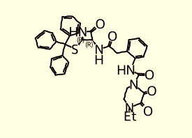 CCN1CCN(C(=O)Nc2ccccc2CC(=O)N[C@@H]2C(=O)N[C@@H]2SC(c2ccccc2)(c2ccccc2)c2ccccc2)C(=O)C1=O